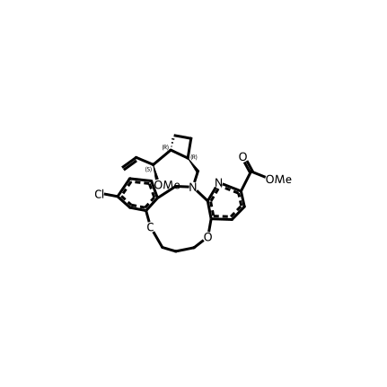 C=C[C@H](OC)[C@@H]1CC[C@H]1CN1Cc2ccc(Cl)cc2CCCCOc2ccc(C(=O)OC)nc21